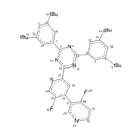 CC(C)(C)c1cc(-c2nc(-c3cc(C(C)(C)C)cc(C(C)(C)C)c3)nc(-c3ccc(F)c(-c4cnccc4F)c3)n2)cc(C(C)(C)C)c1